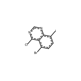 Clc1ncnc2c(I)ccc(Br)c12